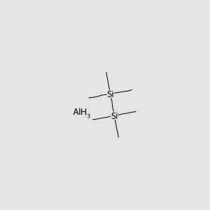 C[Si](C)(C)[Si](C)(C)C.[AlH3]